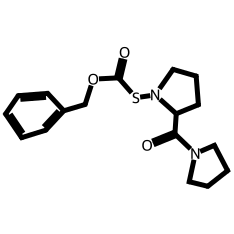 O=C(OCc1ccccc1)SN1CCCC1C(=O)N1CCCC1